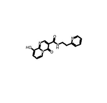 O=C(NCCc1ccccn1)c1cnc2c(O)cccn2c1=O